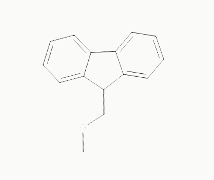 COCC1c2ccccc2-c2ccccc21